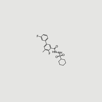 Cc1cc(-c2cccc(F)c2)cc(C(=O)NNS(=O)(=O)C2CCCCC2)c1F